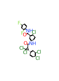 O=C(Nc1ccc(F)cc1F)c1cc(NC(=O)C2[C@H](c3ccc(Cl)c(Cl)c3)C2(Cl)Cl)ccc1Cl